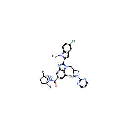 COc1cc(C(=O)N2C[C@H]3CC[C@@H]2[C@@H]3N)cc2nc(-c3cc4cc(Cl)ccc4n3C)n(CC3CN(c4ncccn4)C3)c12